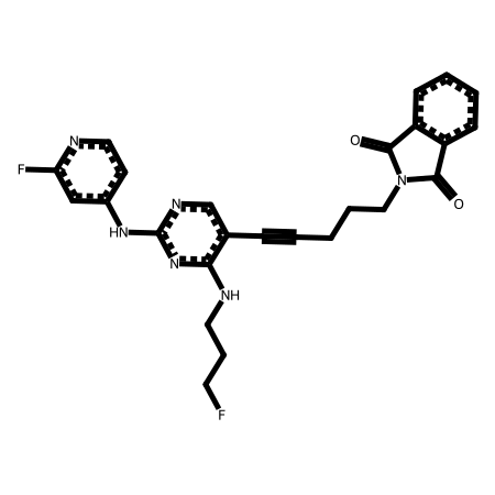 O=C1c2ccccc2C(=O)N1CCCC#Cc1cnc(Nc2ccnc(F)c2)nc1NCCCF